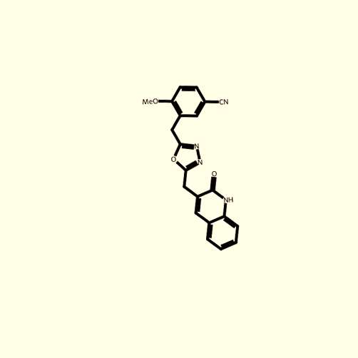 COc1ccc(C#N)cc1Cc1nnc(Cc2cc3ccccc3[nH]c2=O)o1